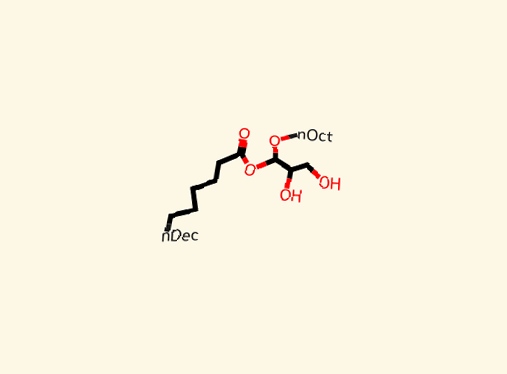 CCCCCCCCCCCCCCCC(=O)OC(OCCCCCCCC)C(O)CO